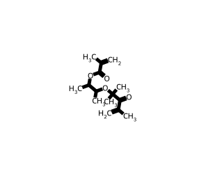 C=C(C)C(=O)OC(C)C(C)OC(C)(C)C(=O)C(=C)C